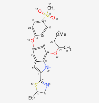 CCC1CN=C(c2cc3cc(Oc4ccc(S(C)(=O)=O)cc4)cc(OC(C)COC)c3[nH]2)S1